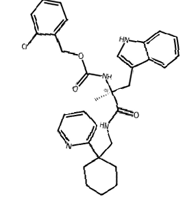 C[C@@](Cc1c[nH]c2ccccc12)(NC(=O)OCc1ccccc1Cl)C(=O)NCC1(c2ccccn2)CCCCC1